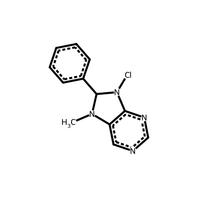 CN1c2cncnc2N(Cl)C1c1ccccc1